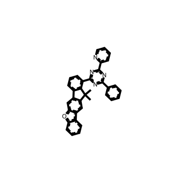 CC1(C)c2cc3c(cc2-c2cccc(-c4nc(-c5ccccc5)nc(-c5ccccn5)n4)c21)oc1ccccc13